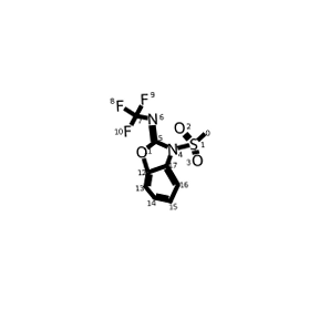 CS(=O)(=O)n1c(=NC(F)(F)F)oc2ccccc21